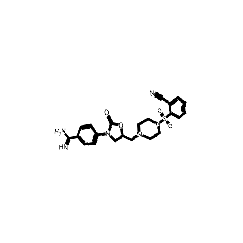 N#Cc1ccccc1S(=O)(=O)N1CCN(CC2CN(c3ccc(C(=N)N)cc3)C(=O)O2)CC1